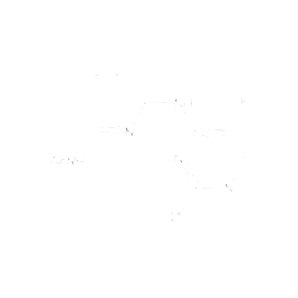 CC(=O)Nc1cccc(Nc2nc(Cl)ncc2F)n1